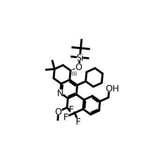 COC(C)c1nc2c(c(C3CCCCC3)c1-c1cc(CO)ccc1C(F)(F)F)[C@@H](O[Si](C)(C)C(C)(C)C)CC(C)(C)C2